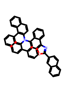 c1ccc(-c2ccccc2N(c2ccc3ccccc3c2-c2ccccc2)c2cc3oc(-c4ccc5ccccc5c4)nc3c3ccccc23)cc1